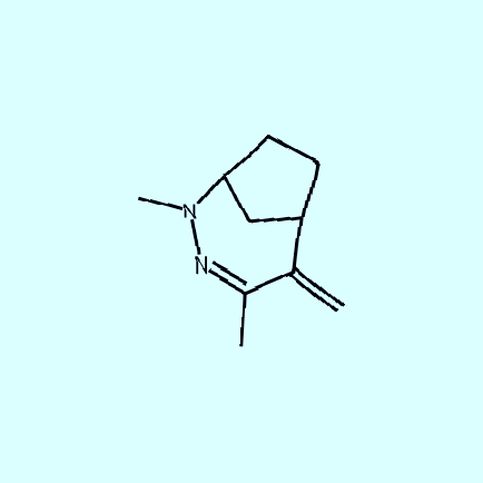 C=C1C(C)=NN(C)C2CCC1C2